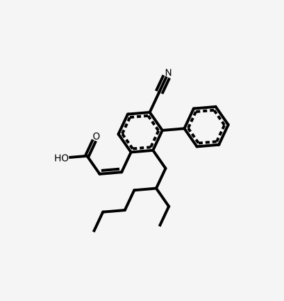 CCCCC(CC)Cc1c(C=CC(=O)O)ccc(C#N)c1-c1ccccc1